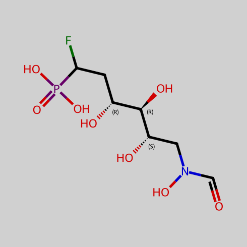 O=CN(O)C[C@H](O)[C@H](O)[C@H](O)CC(F)P(=O)(O)O